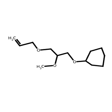 C=CCOCC(COC1CCCCC1)OC